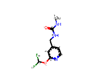 CCCCNC(=O)NCc1ccnc(OC(F)F)c1